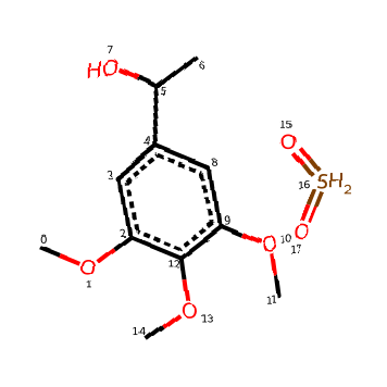 COc1cc(C(C)O)cc(OC)c1OC.O=[SH2]=O